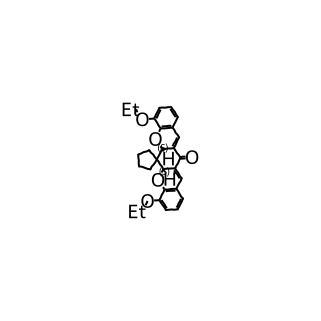 CCOc1cccc2c1O[C@@H]1C(=C2)C(=O)C2=Cc3cccc(OCC)c3O[C@H]2C12CCCC2